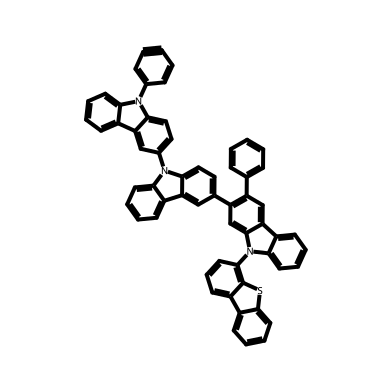 c1ccc(-n2c3ccccc3c3cc(-n4c5ccccc5c5cc(-c6cc7c(cc6-c6ccccc6)c6ccccc6n7-c6cccc7c6sc6ccccc67)ccc54)ccc32)cc#1